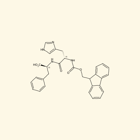 O=C(N[C@@H](Cc1c[nH]cn1)C(=O)N[C@@H](Cc1ccccc1)C(=O)O)OCC1c2ccccc2-c2ccccc21